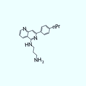 CCCc1ccc(-c2cc3ncccc3c(NCCCN)n2)cc1